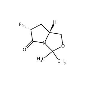 CC1(C)OC[C@H]2C[C@@H](F)C(=O)N21